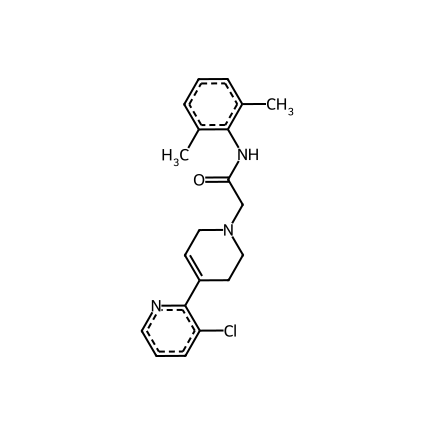 Cc1cccc(C)c1NC(=O)CN1CC=C(c2ncccc2Cl)CC1